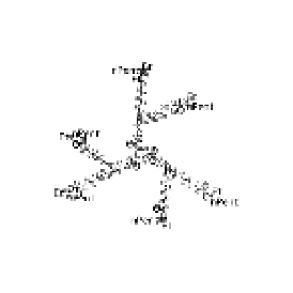 CCCCCC(CC)OC(=O)CCCCCCCCN(CCCCCCCCC(=O)OC(CC)CCCCC)CCCOC(=O)C1C[C@H](C(=O)OCCCN(CCCCCCCCC(=O)OC(CC)CCCCC)CCCCCCCCC(=O)OC(CC)CCCCC)C[C@H](C(=O)OCCCN(CCCCCCCCC(=O)OC(CC)CCCCC)CCCCCCCCC(=O)OC(CC)CCCCC)C1